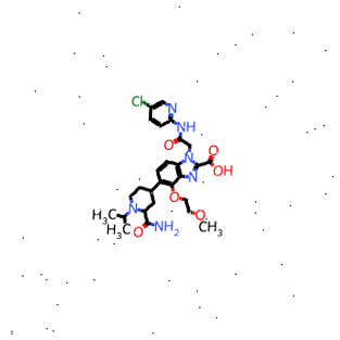 COCCOc1c(C2CCN(C(C)C)C(C(N)=O)C2)ccc2c1nc(C(=O)O)n2CC(=O)Nc1ccc(Cl)cn1